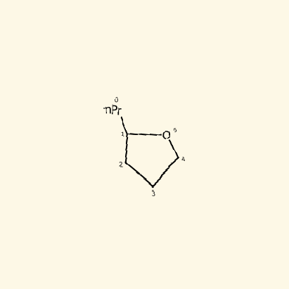 CC[CH]C1CCCO1